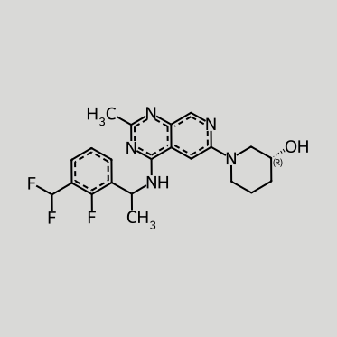 Cc1nc(NC(C)c2cccc(C(F)F)c2F)c2cc(N3CCC[C@@H](O)C3)ncc2n1